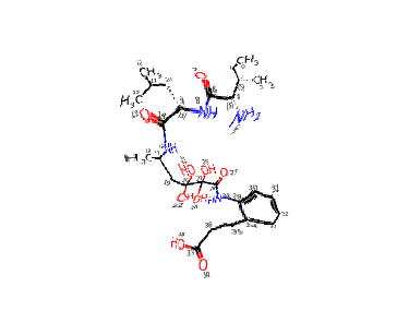 CC[C@H](C)[C@H](N)C(=O)N[C@@H](CC(C)C)C(=O)NC(C)CC(O)(O)C(O)(O)C(=O)Nc1ccccc1CCC(=O)O